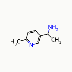 Cc1ccc(C(C)N)cn1